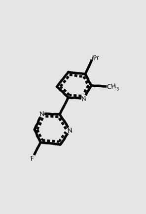 Cc1nc(-c2ncc(F)cn2)ccc1C(C)C